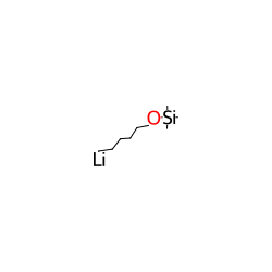 [Li][CH2]CCCCCO[Si](C)(C)C